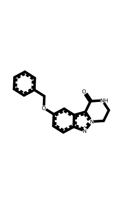 O=C1NCCn2nc3ccc(OCc4ccccc4)cc3c21